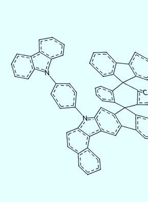 c1ccc2c(c1)-c1ccccc1C21c2ccccc2C2(c3ccccc3-c3cc4c5c6ccccc6ccc5n(-c5ccc(-n6c7ccccc7c7ccccc76)cc5)c4cc32)c2ccccc21